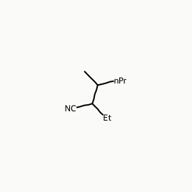 CCCC(C)C(C#N)CC